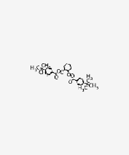 CC(C)(C)c1ccc(C(=O)OOC2=C(OOC(=O)c3ccc(C(C)(C)C)cc3)CCCC2)cc1